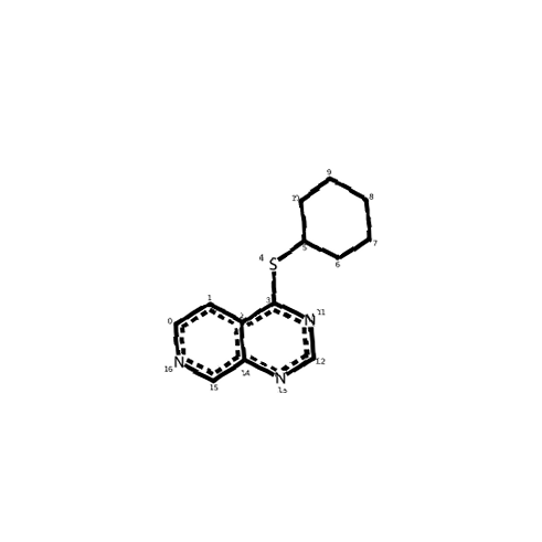 c1cc2c(SC3CCCCC3)ncnc2cn1